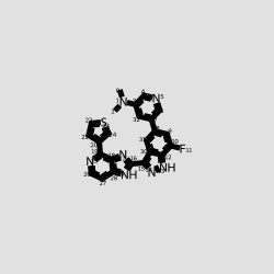 CN(C)c1cncc(-c2cc(F)c3[nH]nc(-c4nc5c(-c6ccsc6)nccc5[nH]4)c3c2)c1